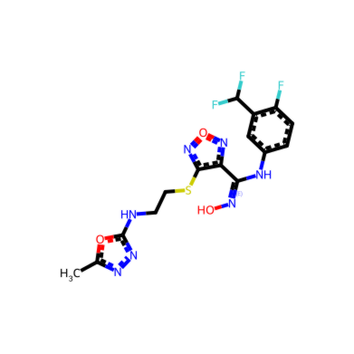 Cc1nnc(NCCSc2nonc2/C(=N\O)Nc2ccc(F)c(C(F)F)c2)o1